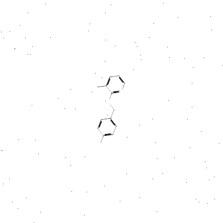 Cc1cccnc1SCc1ccc(Cl)cc1.Cl